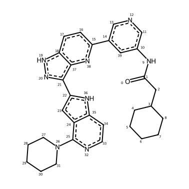 O=C(CC1CCCCC1)Nc1cncc(-c2ccc3[nH]nc(-c4cc5c(N6CCCCC6)nccc5[nH]4)c3n2)c1